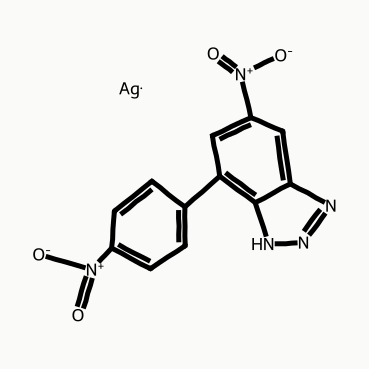 O=[N+]([O-])c1ccc(-c2cc([N+](=O)[O-])cc3nn[nH]c23)cc1.[Ag]